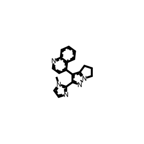 Cn1ccnc1-c1nn2c(c1-c1ccnc3ccccc13)CCC2